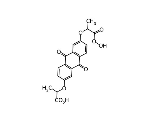 CC(Oc1ccc2c(c1)C(=O)c1ccc(OC(C)C(=O)OO)cc1C2=O)C(=O)O